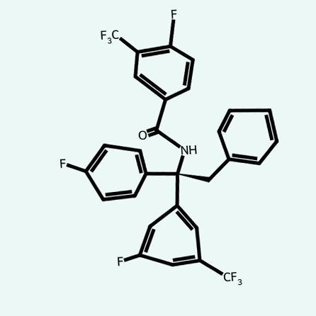 O=C(N[C@@](Cc1ccccc1)(c1ccc(F)cc1)c1cc(F)cc(C(F)(F)F)c1)c1ccc(F)c(C(F)(F)F)c1